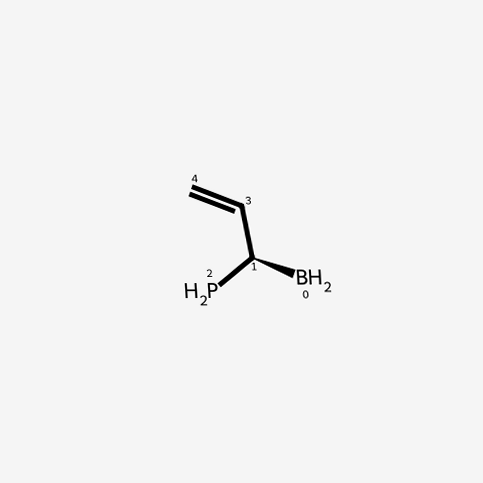 B[C@@H](P)C=C